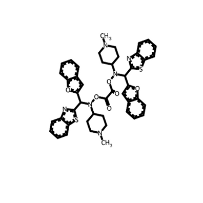 CN1CCC(N(OC(=O)C(=O)ON(C2CCN(C)CC2)C(c2cc3ccccc3o2)c2nc3ccccc3s2)C(c2cc3ccccc3o2)c2nc3ccccc3s2)CC1